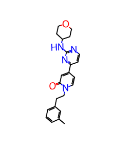 Cc1cccc(CCn2ccc(-c3ccnc(NC4CCOCC4)n3)cc2=O)c1